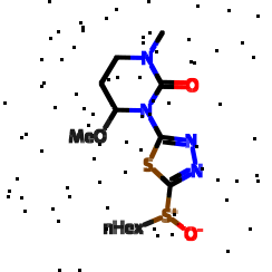 CCCCCC[S+]([O-])c1nnc(N2C(=O)N(C)CCC2OC)s1